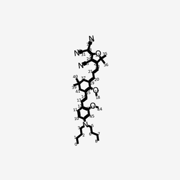 CCCCN(CCCC)c1ccc(/C=C/C2=C(OC)C(=C/C=C/C3=C(C#N)C(=C(C#N)C#N)OC3(C)C)/CC(C)(C)C2)c(OC)c1